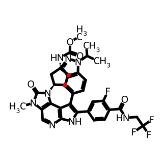 COC(=O)N[C@@H]1CC[C@@H](n2c(=O)n(C)c3cnc4[nH]c(-c5ccc(C(=O)NCC(F)(F)F)c(F)c5)c(-c5ccc6c(cnn6C(C)C)c5)c4c32)C1